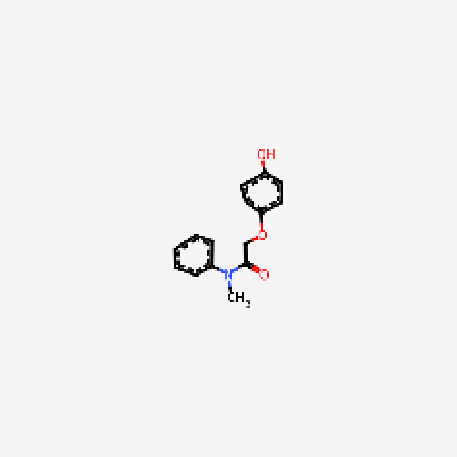 CN(C(=O)COc1ccc(O)cc1)c1ccccc1